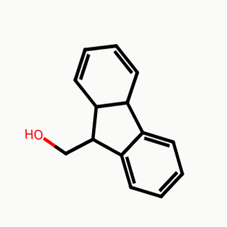 OCC1c2ccccc2C2C=CC=CC21